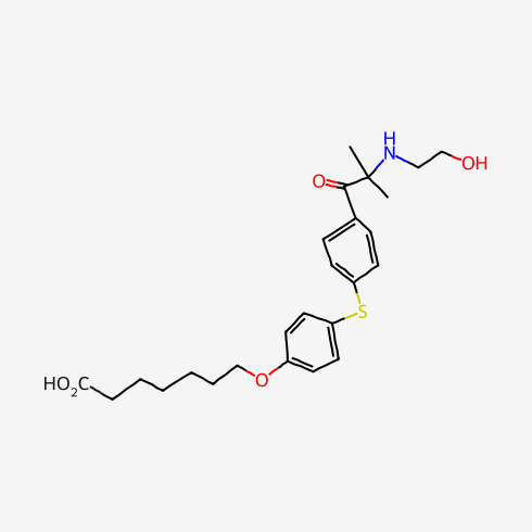 CC(C)(NCCO)C(=O)c1ccc(Sc2ccc(OCCCCCCC(=O)O)cc2)cc1